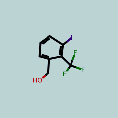 OCc1cccc(I)c1C(F)(F)F